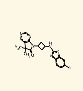 CC1(C)C(=O)N(C2CC(Nc3nc4ccc(F)cc4s3)C2)c2ncncc21